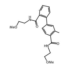 COCCNC(=O)c1[c]cccc1-c1ccc(C(=O)NCCOC)c(C)c1